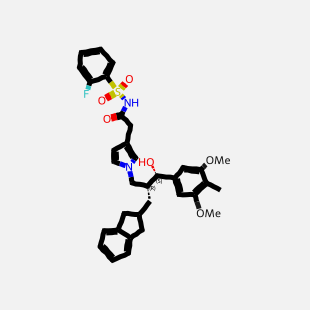 COc1cc([C@@H](O)[C@H](CC2Cc3ccccc3C2)Cn2ccc(CC(=O)NS(=O)(=O)c3ccccc3F)c2)cc(OC)c1C